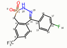 O=S1(=O)Cc2cc(C(F)(F)F)ccc2C(c2ccc(F)cc2)=NN1